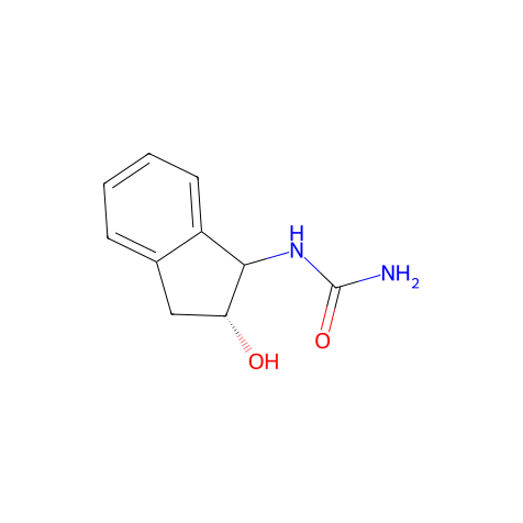 NC(=O)NC1c2ccccc2C[C@H]1O